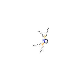 CCCCCP(CCCCC)c1cccc(P(CCCCC)CCCCC)n1